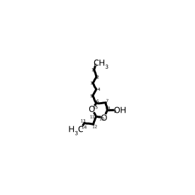 CCCCCCC1CC(O)OC(CCC)O1